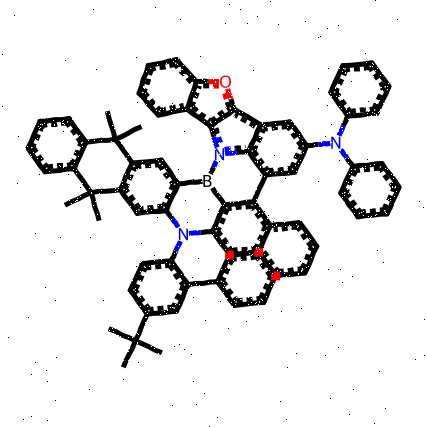 CC(C)(C)c1ccc(N2c3cc4c(cc3B3c5c2cc2ccccc2c5-c2cc(N(c5ccccc5)c5ccccc5)cc5c6oc7ccccc7c6n3c25)C(C)(C)c2ccccc2C4(C)C)c(-c2ccccc2)c1